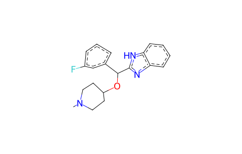 CN1CCC(OC(c2cccc(F)c2)c2nc3ccccc3[nH]2)CC1